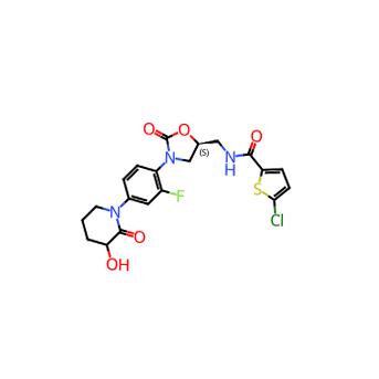 O=C(NC[C@H]1CN(c2ccc(N3CCCC(O)C3=O)cc2F)C(=O)O1)c1ccc(Cl)s1